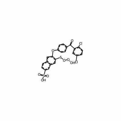 O=C(c1ccc(Oc2cc3ccc(S(=O)(=O)O)cc3cc2SOOO)cc1)c1cc(Cl)ccc1Cl